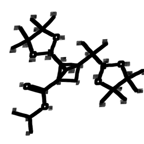 CC(C)OC(=O)C12CC(C(C)(C)B3OC(C)(C)C(C)(C)O3)(C1)C2B1OC(C)(C)C(C)(C)O1